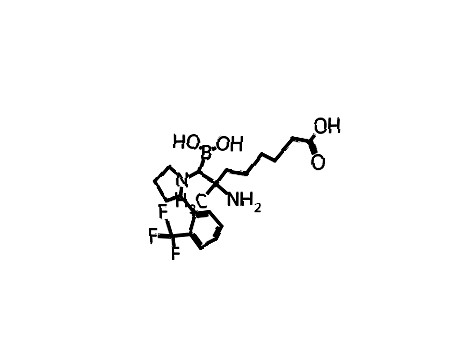 CC(N)(CCCCCC(=O)O)C(B(O)O)N1CCCC1c1ccccc1C(F)(F)F